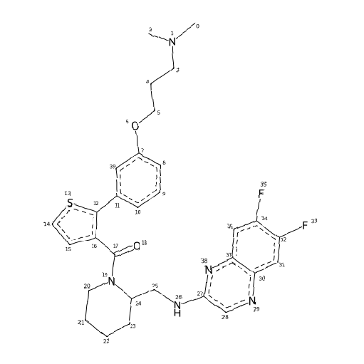 CN(C)CCCOc1cccc(-c2sccc2C(=O)N2CCCCC2CNc2cnc3cc(F)c(F)cc3n2)c1